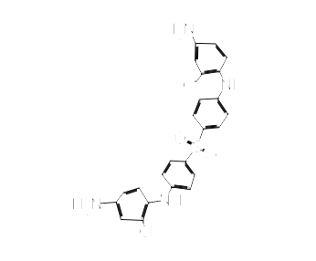 Nc1ccc(Nc2ccc(S(=O)(=O)c3ccc(Nc4ccc(N)cc4Cl)cc3)cc2)c(Cl)c1